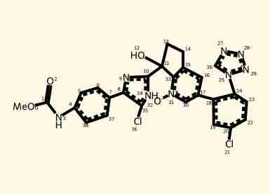 COC(=O)Nc1ccc(-c2nc(C3(O)CCc4cc(-c5cc(Cl)ccc5-n5cnnn5)c[n+]([O-])c43)[nH]c2Cl)cc1